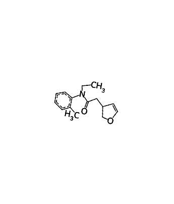 CCN(C(=O)CC1C=COC1)c1ccccc1C